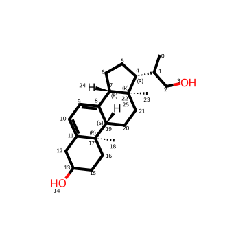 CC(CO)[C@H]1CC[C@H]2C3=CC=C4CC(O)CC[C@]4(C)[C@H]3CC[C@]12C